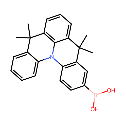 CC1(C)c2ccccc2N2c3ccc(B(O)O)cc3C(C)(C)c3cccc1c32